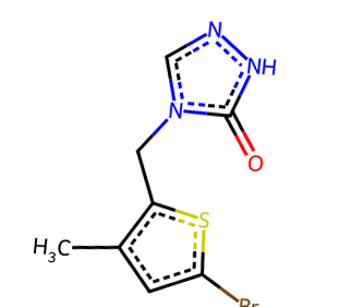 Cc1cc(Br)sc1Cn1cn[nH]c1=O